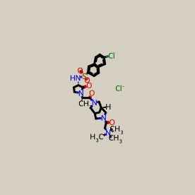 C[C@@H](C(=O)N1CC2C[C@@H](CN(C(=O)C[N+](C)(C)C)C2)C1)N1CC[C@H](NS(=O)(=O)c2ccc3cc(Cl)ccc3c2)C1=O.[Cl-]